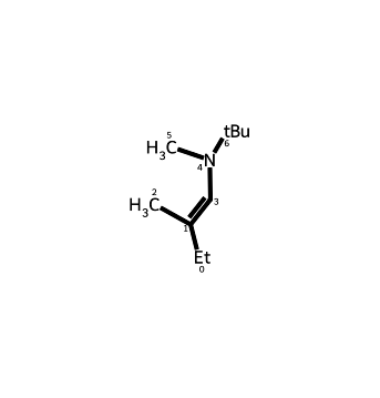 CC/C(C)=C/N(C)C(C)(C)C